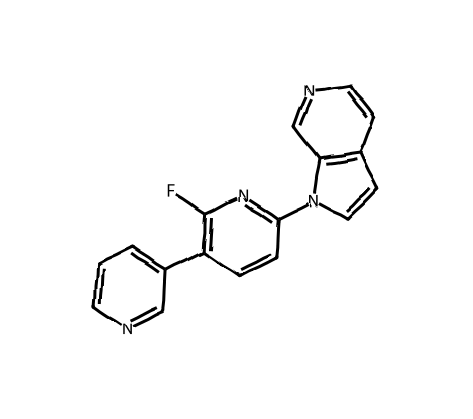 Fc1nc(-n2ccc3ccncc32)ccc1-c1cccnc1